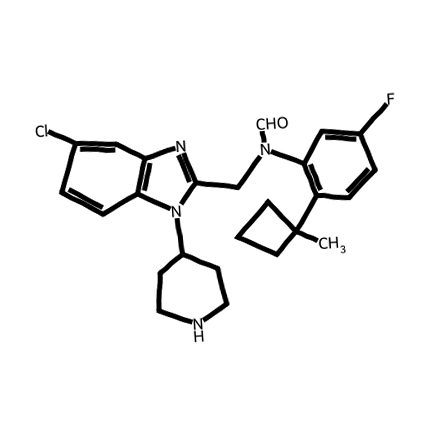 CC1(c2ccc(F)cc2N(C=O)Cc2nc3cc(Cl)ccc3n2C2CCNCC2)CCC1